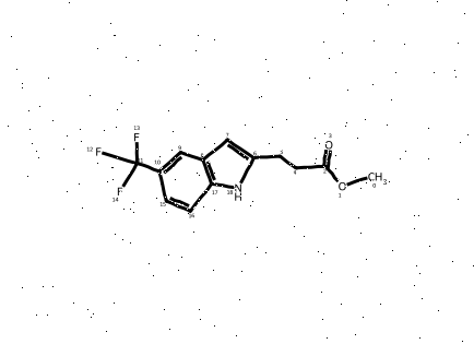 COC(=O)CCc1cc2cc(C(F)(F)F)ccc2[nH]1